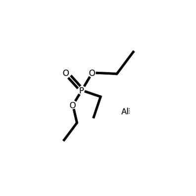 CCOP(=O)(CC)OCC.[Al]